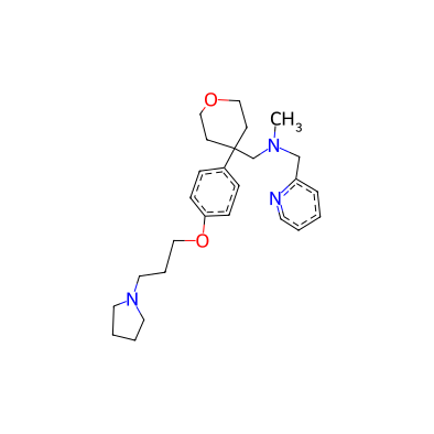 CN(Cc1ccccn1)CC1(c2ccc(OCCCN3CCCC3)cc2)CCOCC1